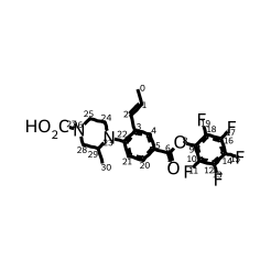 CC=Cc1cc(C(=O)Oc2c(F)c(F)c(F)c(F)c2F)ccc1N1CCN(C(=O)O)CC1C